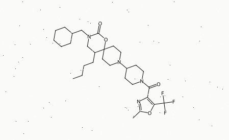 CCCCC1CN(CC2CCCCC2)C(=O)OC12CCN(C1CCN(C(=O)c3nc(C)oc3C(F)(F)F)CC1)CC2